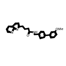 COc1cccc(-c2ccc(CNC(=O)CCCc3ccc4cccnc4n3)cc2)c1